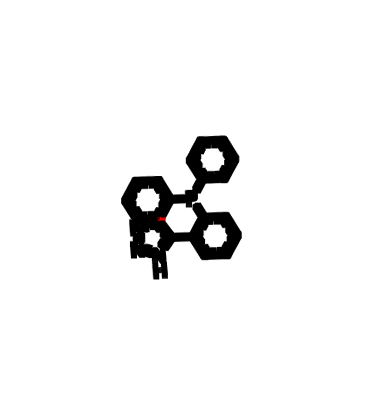 c1ccc(P(c2ccccc2)c2ccccc2-c2cnn[nH]2)cc1